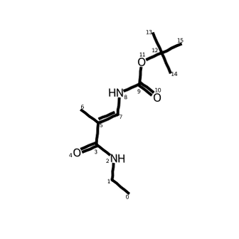 CCNC(=O)C(C)=CNC(=O)OC(C)(C)C